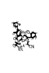 CCNC(=O)C(C)(C)n1c(=O)c2c(C)c(-n3nccn3)sc2n(CC(OCCC#N)c2cc(F)ccc2OC)c1=O